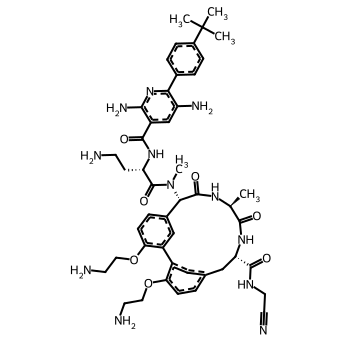 C[C@@H]1NC(=O)[C@@H](N(C)C(=O)[C@H](CCN)NC(=O)c2cc(N)c(-c3ccc(C(C)(C)C)cc3)nc2N)c2ccc(OCCN)c(c2)-c2cc(ccc2OCCN)C[C@@H](C(=O)NCC#N)NC1=O